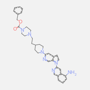 Nc1cccc2cnc(-n3ccc4cc(N5CCC(CCN6CCN(C(=O)OCc7ccccc7)CC6)CC5)ncc43)cc12